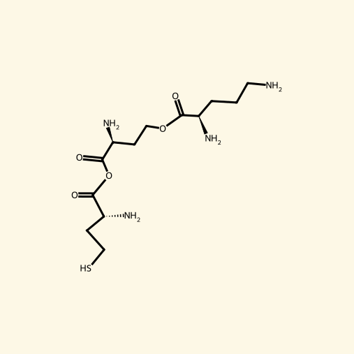 NCCC[C@@H](N)C(=O)OCC[C@H](N)C(=O)OC(=O)[C@H](N)CCS